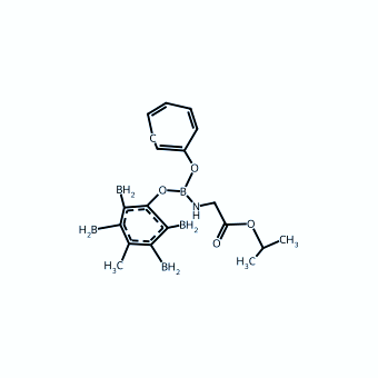 Bc1c(B)c(OB(NCC(=O)OC(C)C)OC2=CCC=CC=C2)c(B)c(B)c1C